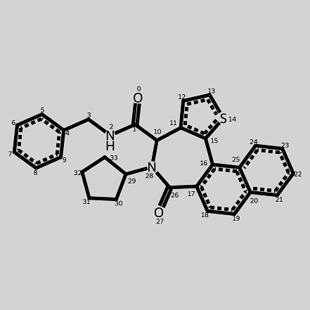 O=C(NCc1ccccc1)C1c2ccsc2-c2c(ccc3ccccc23)C(=O)N1C1CCCC1